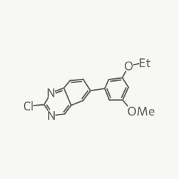 CCOc1cc(OC)cc(-c2ccc3nc(Cl)ncc3c2)c1